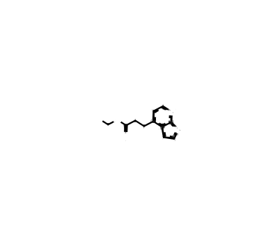 CCOC(=O)CCc1ccnc2[nH]ccc12